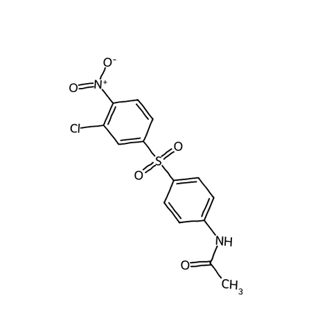 CC(=O)Nc1ccc(S(=O)(=O)c2ccc([N+](=O)[O-])c(Cl)c2)cc1